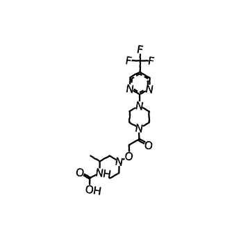 CCN(CC(C)NC(=O)O)OCC(=O)N1CCN(c2ncc(C(F)(F)F)cn2)CC1